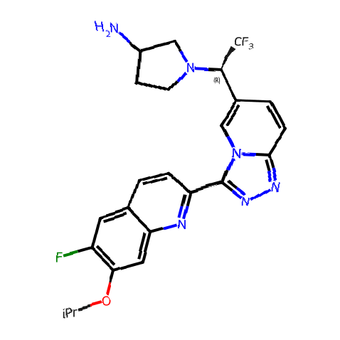 CC(C)Oc1cc2nc(-c3nnc4ccc([C@@H](N5CCC(N)C5)C(F)(F)F)cn34)ccc2cc1F